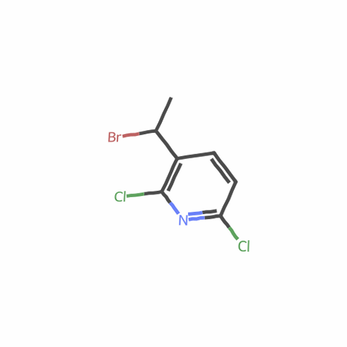 CC(Br)c1ccc(Cl)nc1Cl